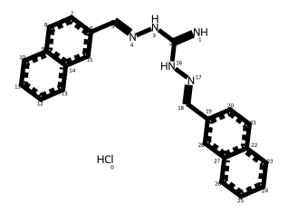 Cl.N=C(NN=Cc1ccc2ccccc2c1)NN=Cc1ccc2ccccc2c1